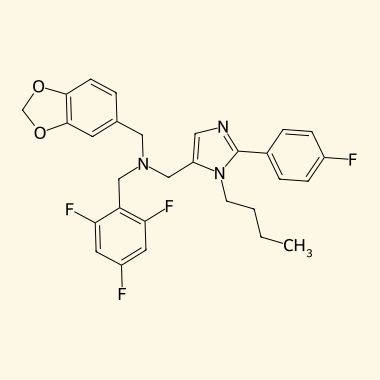 CCCCn1c(CN(Cc2ccc3c(c2)OCO3)Cc2c(F)cc(F)cc2F)cnc1-c1ccc(F)cc1